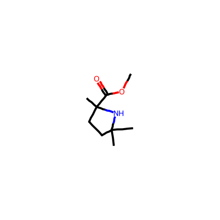 COC(=O)C1(C)CCC(C)(C)N1